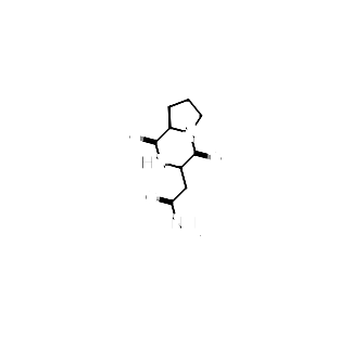 NC(=O)CC1NC(=O)C2CCCN2C1=O